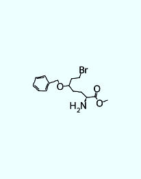 COC(=O)[C@@H](N)CCC(CCBr)OCc1ccccc1